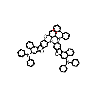 c1ccc(-c2ccccc2N2c3cc4c(cc3B3c5cc6oc7cc(N(c8ccccc8)c8ccccc8)c8ccccc8c7c6cc5Oc5cccc2c53)oc2cc(N(c3ccccc3)c3ccccc3)c3ccccc3c24)cc1